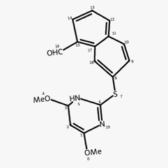 COC1=CC(OC)NC(Sc2ccc3cccc(C=O)c3c2)=N1